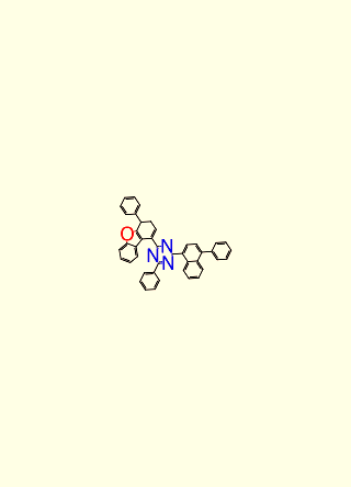 C1=C(c2nc(-c3ccccc3)nc(-c3ccc(-c4ccccc4)c4ccccc34)n2)c2c(oc3ccccc23)C(c2ccccc2)C1